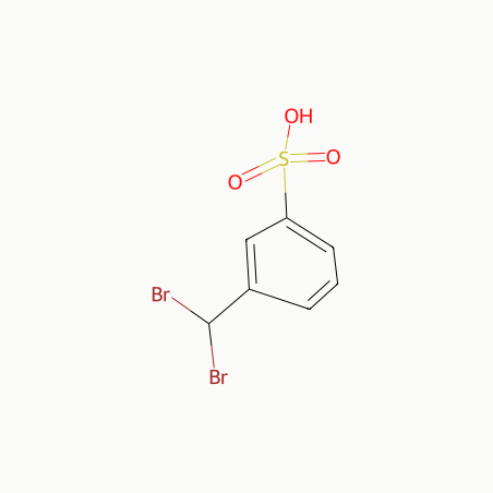 O=S(=O)(O)c1cccc(C(Br)Br)c1